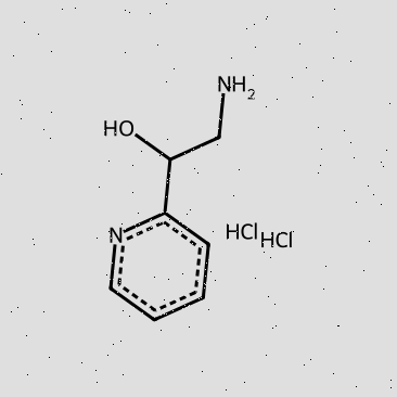 Cl.Cl.NCC(O)c1ccccn1